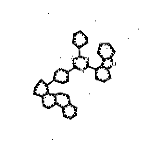 c1ccc(-c2nc(-c3ccc(-c4cccc5ccc6c7ccccc7ccc6c45)cc3)nc(-c3cccc4oc5ccccc5c34)n2)cc1